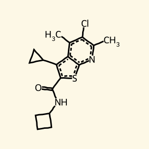 Cc1nc2sc(C(=O)NC3CCC3)c(C3CC3)c2c(C)c1Cl